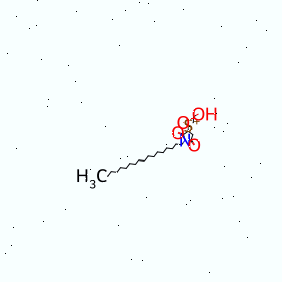 CCCCCCCCC=CCCCCCCCCN1C(=O)CC([S+]([O-])CCO)C1=O